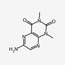 Cn1c(=O)c2nc(N)cnc2n(C)c1=O